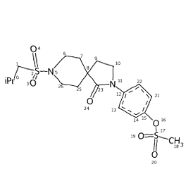 CC(C)CS(=O)(=O)N1CCC2(CCN(c3ccc(OS(C)(=O)=O)cc3)C2=O)CC1